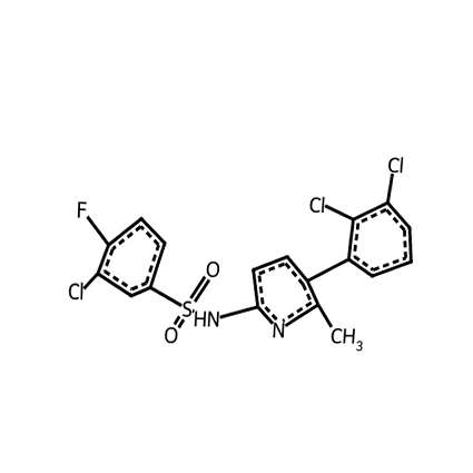 Cc1nc(NS(=O)(=O)c2ccc(F)c(Cl)c2)ccc1-c1cccc(Cl)c1Cl